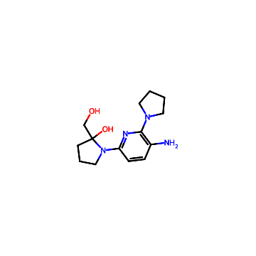 Nc1ccc(N2CCCC2(O)CO)nc1N1CCCC1